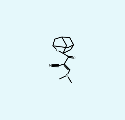 CN(C)C=C(C#N)C(=O)C12CC3CC(CC(C3)C1)C2